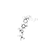 CCOC(=O)C(C#N)C1(C#N)CCN(c2ccc(N3C[C@H](CNC(C)=S)OC3=O)cc2F)CC1